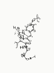 CC(C)[C@H](NC(=O)[C@H](Cc1ccc(OC(C)(C)C)cc1)NC(=O)[C@H](C)N)C(=O)NCC(=O)O